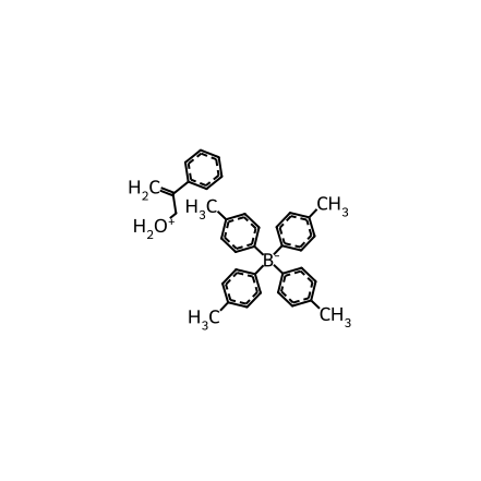 C=C(C[OH2+])c1ccccc1.Cc1ccc([B-](c2ccc(C)cc2)(c2ccc(C)cc2)c2ccc(C)cc2)cc1